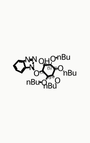 CCCCO[C@@H]1[C@@H](OCCCC)[C@@H](On2nnc3ccccc32)[C@@H](O)[C@H](OCCCC)[C@H]1OCCCC